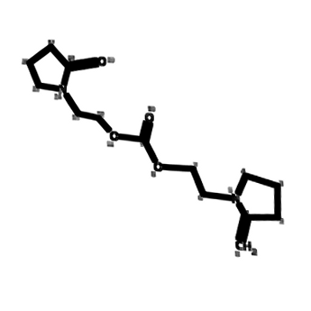 C=C1CCCN1CCOC(=O)OCCN1CCCC1=O